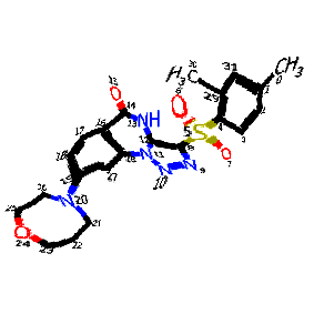 Cc1ccc(S(=O)(=O)c2nnn3c2[nH]c(=O)c2ccc(N4CCCOCC4)cc23)c(C)c1